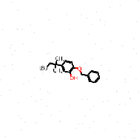 CC(C)(C)CC(C)(C)c1ccc(OCc2ccccc2)c(O)c1